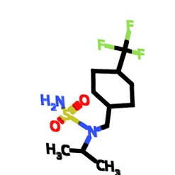 CC(C)N(CC1CCC(C(F)(F)F)CC1)S(N)(=O)=O